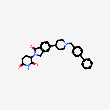 O=C1CCC(N2Cc3cc(C4CCN(Cc5ccc(-c6ccccc6)cc5)CC4)ccc3C2=O)C(=O)N1